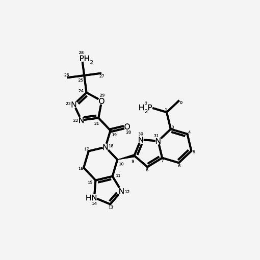 CC(P)c1cccc2cc([C@H]3c4nc[nH]c4CCN3C(=O)c3nnc(C(C)(C)P)o3)nn12